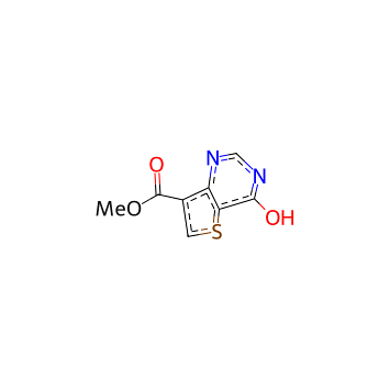 COC(=O)c1csc2c(O)ncnc12